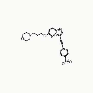 O=[N+]([O-])c1ccc(C#Cc2cnc3ccc(OCCCN4CCOCC4)nn23)cc1